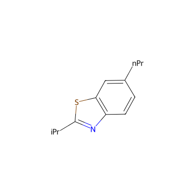 CCCc1ccc2nc(C(C)C)sc2c1